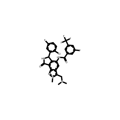 CN(C)Cc1c2cc(NC(=O)c3cc(F)cc(C(F)(F)F)c3)c3c(c2nn1C)C(=O)NC3c1cc(F)ccc1Cl